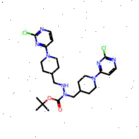 CC(C)(C)OC(=O)N(CC1CCN(c2ccnc(Cl)n2)CC1)NCC1CCN(c2ccnc(Cl)n2)CC1